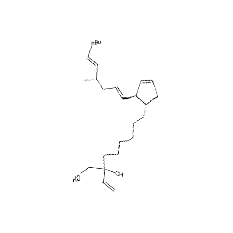 C=CC(O)(CO)CCCCCC[C@H]1CC=C[C@@H]1C=CC[C@H](C)C=CCCCC